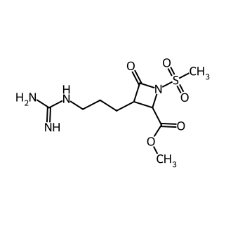 COC(=O)C1C(CCCNC(=N)N)C(=O)N1S(C)(=O)=O